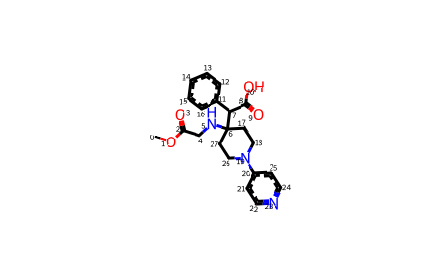 COC(=O)CNC1(C(C(=O)O)c2ccccc2)CCN(c2ccncc2)CC1